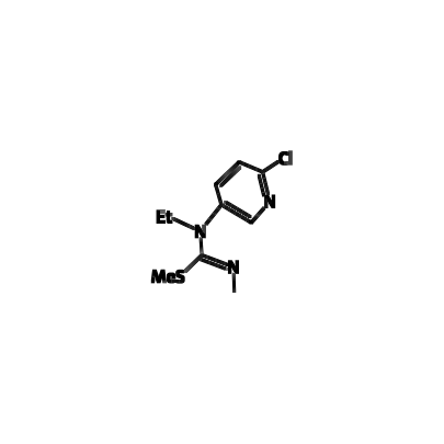 CCN(C(=NC)SC)c1ccc(Cl)nc1